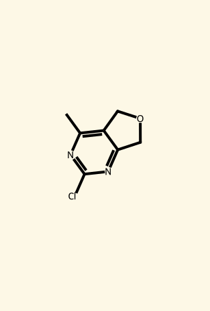 Cc1nc(Cl)nc2c1COC2